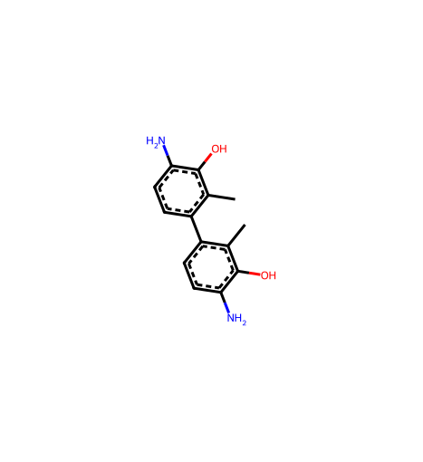 Cc1c(-c2ccc(N)c(O)c2C)ccc(N)c1O